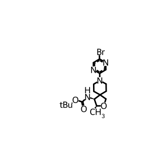 C[C@@H]1OCC2(CCN(c3cnc(Br)cn3)CC2)[C@@H]1NC(=O)OC(C)(C)C